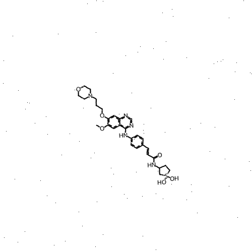 COc1cc2c(Nc3ccc(C=CC(=O)NC4CCS(O)(O)C4)cc3)ncnc2cc1OCCCN1CCOCC1